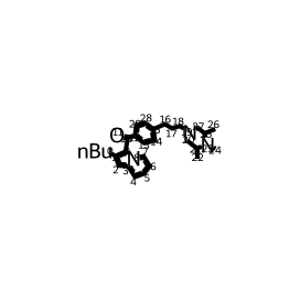 CCCCc1cc2ccccn2c1C(=O)c1ccc(CCCN2CC(C)N(C)C(C)C2)cc1